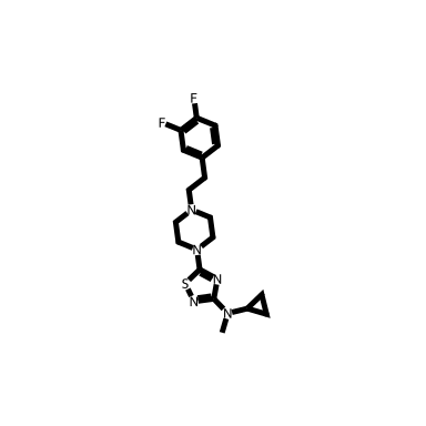 CN(c1nsc(N2CCN(CCc3ccc(F)c(F)c3)CC2)n1)C1CC1